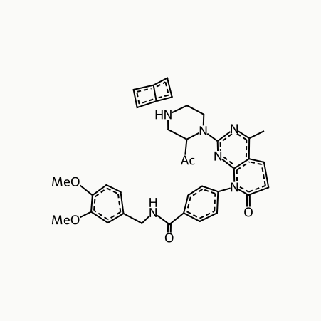 COc1ccc(CNC(=O)c2ccc(-n3c(=O)ccc4c(C)nc(N5CCNCC5C(C)=O)nc43)cc2)cc1OC.c1cc2ccc1-2